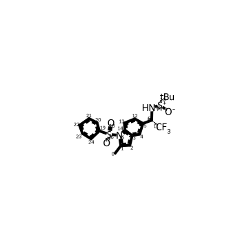 Cc1cc2cc([C@H](N[S@@+]([O-])C(C)(C)C)C(F)(F)F)ccc2n1S(=O)(=O)c1ccccc1